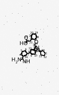 N=C(N)c1cccc(-c2ccc3c(c2)c(COc2ccccc2CC(=O)O)nn3C2CCCC2)c1